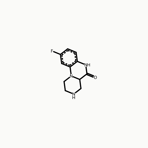 O=C1Nc2ccc(F)cc2N2CCNCC12